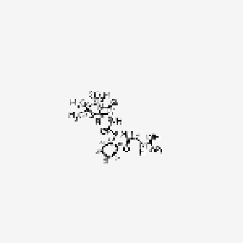 CCCC(=N)NCC(=O)NC(C(=O)N[C@@H]1C(=O)N2[C@@H]1SC(C)(C)[C@@H]2C(=O)O)c1ccccc1